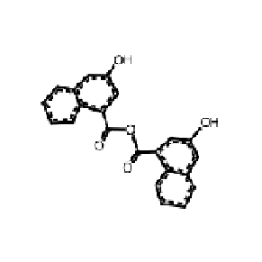 O=C(OC(=O)c1cc(O)cc2ccccc12)c1cc(O)cc2ccccc12